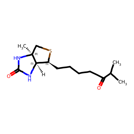 CC(C)C(=O)CCCC[C@@H]1SC[C@]2(C)NC(=O)N[C@H]12